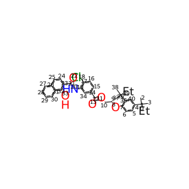 CCC(C)(C)c1ccc(OCCOC(=O)c2ccc(Cl)c(NC(=O)c3ccc4ccccc4c3O)c2)c(C(C)(C)CC)c1